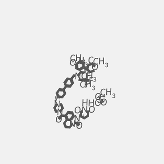 CCS(=O)(=O)O.COc1ccc([C@]2(CCN(Cc3ccc(C4=CC[C@H](CN5CCN(C(=O)c6ccc7c8c6CCCn8c(=O)n7[C@@H]6CCC(=O)NC6=O)CC5)CC4)cc3)CC(C)(C)C(F)(F)F)CCOC(C)(C)C2)cc1